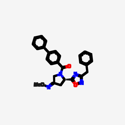 CON=C1C[C@@H](c2nc(Cc3ccccc3)no2)N(C(=O)c2ccc(-c3ccccc3)cc2)C1